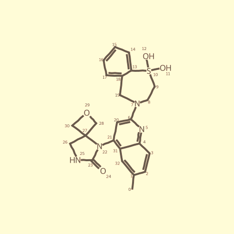 Cc1ccc2nc(N3CCS(O)(O)c4ccccc4C3)cc(N3C(=O)NCC34COC4)c2c1